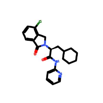 O=C(Nc1ccccn1)[C@H](CC1CCCCC1)N1Cc2c(Cl)cccc2C1=O